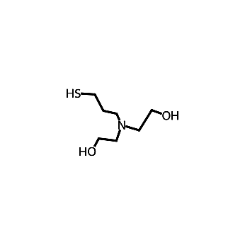 OCCN(CCO)CCCS